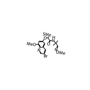 CON=CC(C)(C)NC(=O)C(Oc1cc(OC)c2ncc(Br)cc2c1)SC